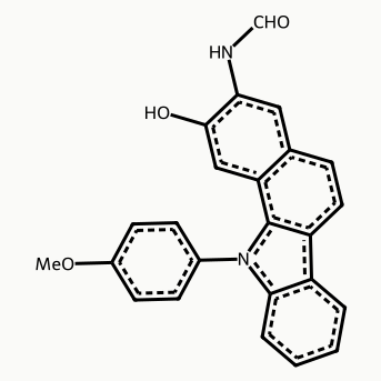 COc1ccc(-n2c3ccccc3c3ccc4cc(NC=O)c(O)cc4c32)cc1